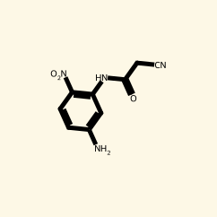 N#CCC(=O)Nc1cc(N)ccc1[N+](=O)[O-]